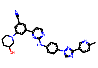 Cc1ccc(-c2ncn(-c3ccc(Nc4nccc(-c5cc(C#N)cc(N6CCCC(O)C6)c5)n4)cc3)n2)cn1